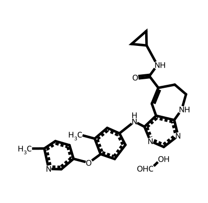 Cc1ccc(Oc2ccc(Nc3ncnc4c3C=C(C(=O)NC3CC3)CCN4)cc2C)cn1.O=CO